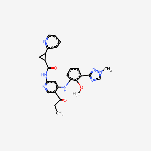 CCC(=O)c1cnc(NC(=O)C2CC2c2ccccn2)cc1Nc1cccc(-c2ncn(C)n2)c1OC